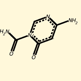 NC(=O)n1cnc(N)[c]c1=O